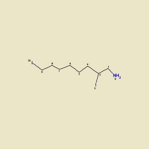 NCC(I)CCCCCCI